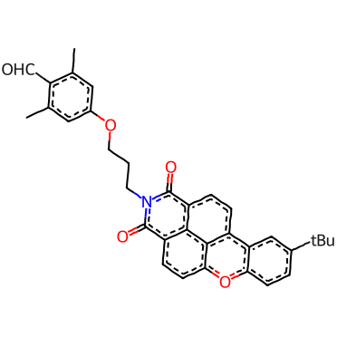 Cc1cc(OCCCn2c(=O)c3ccc4oc5ccc(C(C)(C)C)cc5c5ccc(c2=O)c3c45)cc(C)c1C=O